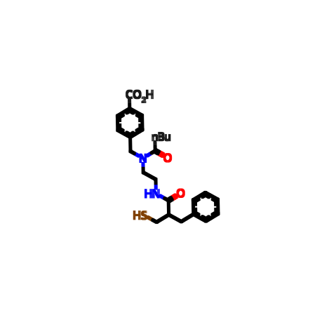 CCCCC(=O)N(CCNC(=O)C(CS)Cc1ccccc1)Cc1ccc(C(=O)O)cc1